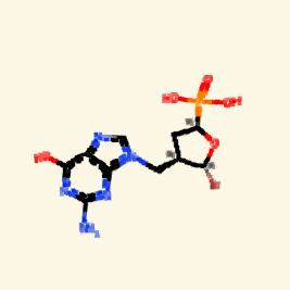 Nc1nc(O)c2ncn(C[C@H]3C[C@@H](P(=O)(O)O)O[C@@H]3Br)c2n1